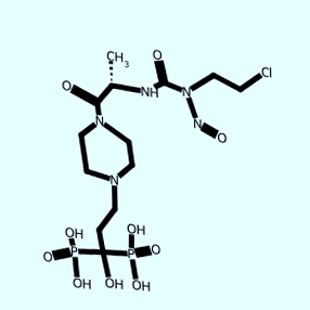 C[C@H](NC(=O)N(CCCl)N=O)C(=O)N1CCN(CCC(O)(P(=O)(O)O)P(=O)(O)O)CC1